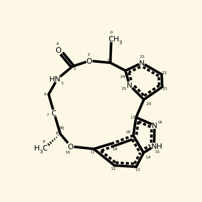 CC1OC(=O)NCC[C@@H](C)Oc2ccc3[nH]nc(c3c2)-c2ccnc1n2